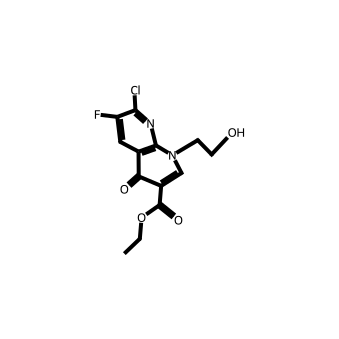 CCOC(=O)c1cn(CCO)c2nc(Cl)c(F)cc2c1=O